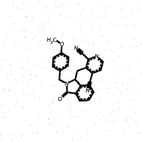 COc1ccc(CN2C(=O)c3ccccc3C2Cc2c(C#N)ccnc2C#N)cc1